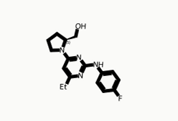 CCc1cc(N2CCC[C@H]2CO)nc(Nc2ccc(F)cc2)n1